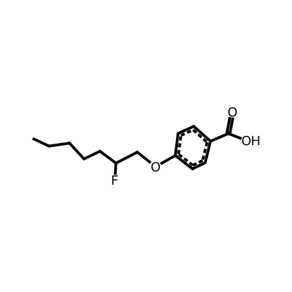 CCCCCC(F)COc1ccc(C(=O)O)cc1